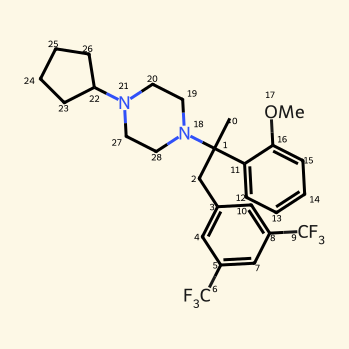 [CH2]C(Cc1cc(C(F)(F)F)cc(C(F)(F)F)c1)(c1ccccc1OC)N1CCN(C2CCCC2)CC1